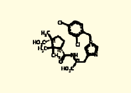 CC1(C)[C@@H](C(=O)N[C@@H](Cc2cn(Cc3ccc(Cl)cc3Cl)cn2)C(=O)O)CC[C@@]1(C)C(=O)O